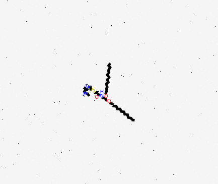 CCCCCCCCCCCCCCOCC(CNC(=O)CCSCCN(C)C(C)(C)CN(C)CC)OCCCCCCCCCCCCCC